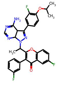 CC(C)Oc1ccc(C2=NN(C(C)c3oc4ccc(F)cc4c(=O)c3-c3cccc(F)c3)C3N=CN=C(N)C23)cc1F